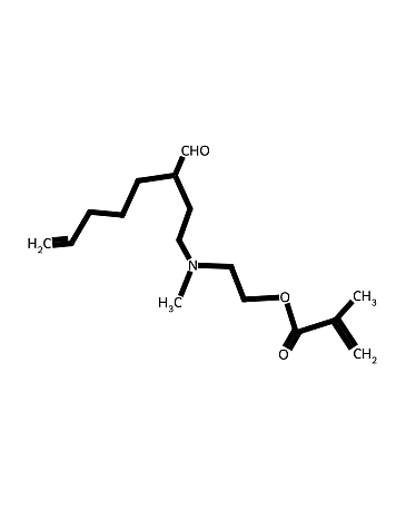 C=CCCCC(C=O)CCN(C)CCOC(=O)C(=C)C